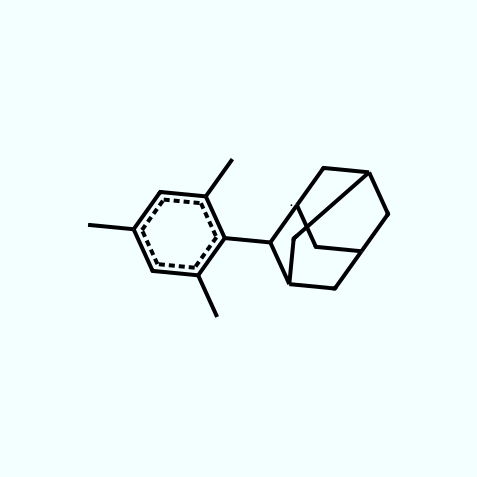 Cc1cc(C)c(C2[C]3CC4CC(C3)CC2C4)c(C)c1